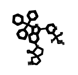 CC(F)(F)c1cc(-c2nn(C(c3ccccc3)(c3ccccc3)c3ccccc3)c3ccc(N4CCC5(CCNC5)C4=O)cc23)ccn1